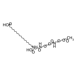 CC(=O)COCCOCCNC(=O)COCCOCCNC(=O)CC[C@H](NCCCCCCCCCCCCCCCCCCCC(=O)O)C(=O)O